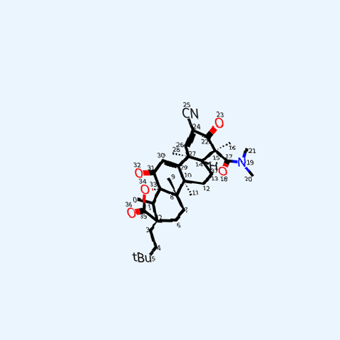 CC1[C@]2(CCC(C)(C)C)CC[C@@]3(C)[C@]4(C)CC[C@H]5[C@](C)(C(=O)N(C)C)C(=O)C(C#N)=C[C@]5(C)C4=CC(=O)[C@]13OC2=O